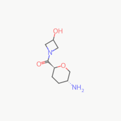 N[C@@H]1CC[C@@H](C(=O)N2CC(O)C2)OC1